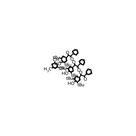 CC(C)(C)c1cc(C(=O)C(=O)c2ccccc2)cc(C(C)(C)C)c1O.CC(C)(C)c1cc(C(=O)C(=O)c2ccccc2)cc(C(C)(C)C)c1O.CC(C)(C)c1cc(C(=O)C(=O)c2ccccc2)cc(C(C)(C)C)c1O.Cc1cc(C)cc(C)c1